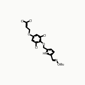 CC(C)CO/N=C/c1ccc(COc2c(Cl)cc(OCC=C(Cl)Cl)cc2Cl)[nH]1